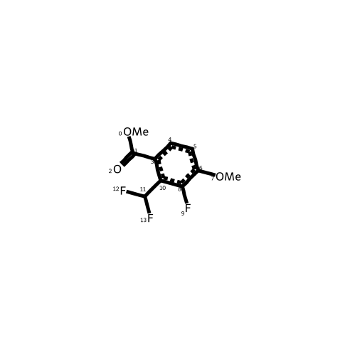 COC(=O)c1ccc(OC)c(F)c1C(F)F